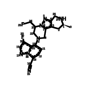 C[C@@H]1Cc2c(nn3c2CN(c2ccc(C#N)n4ncc(F)c24)CC3CF)CN1